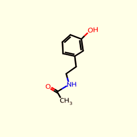 CC(=O)NCCc1cccc(O)c1